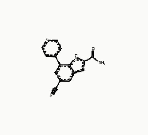 N#Cc1cc(-c2ccncc2)c2[nH]c(C(N)=O)cc2c1